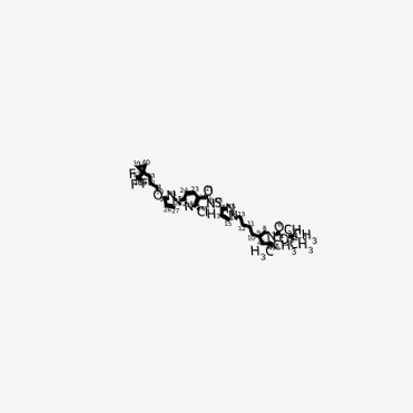 CC(C)(C)OC(=O)N1CC(CCCCn2ccc(SNC(=O)c3ccc(-n4ccc(OCCCC5(C(F)(F)F)CC5)n4)nc3Cl)n2)CC1(C)C